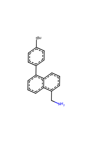 CC(C)(C)c1ccc(-c2cccc3c(CN)cccc23)cc1